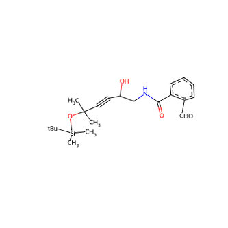 CC(C)(C#CC(O)CNC(=O)c1ccccc1C=O)O[Si](C)(C)C(C)(C)C